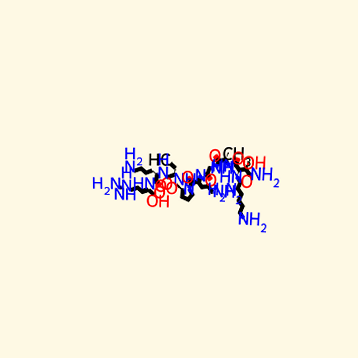 C#CC[C@H](NC(=O)[C@@H]1CCCN1C(=O)/C(CCCN)=N/C(=O)CNC(=O)[C@H](C)NC(=O)[C@@H](NC(=O)[C@@H](N)CCCCN)[C@@H](O)CN)C(=O)N[C@@H](CCCCN)C(=O)N/C(=C\CCNC(=N)N)C(=O)O